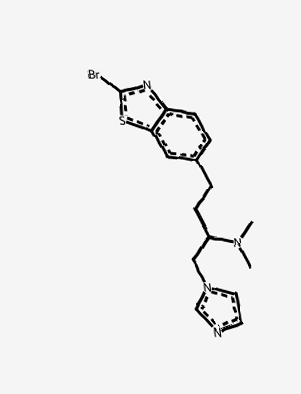 CN(C)C(CCc1ccc2nc(Br)sc2c1)Cn1ccnc1